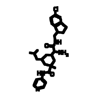 CC(C)CC1CC(C(N)C(=O)NCC2CCc3cc(Cl)ccc32)CC(C)(C(=O)Nc2ccncc2)C1